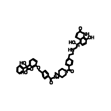 O=C(c1ccc(CCNC[C@H](O)c2ccc(O)c3[nH]c(=O)ccc23)cc1)N1CCC2(CC1)CN(C(=O)c1ccc(COc3cccc([C@](O)(C(=O)O)c4ccccc4)c3)cc1)C2